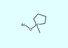 CC(=O)O[N+]1(C)CCCC1